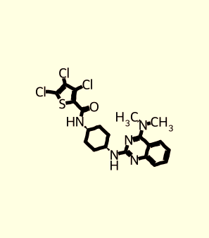 CN(C)c1nc(N[C@H]2CC[C@@H](NC(=O)c3sc(Cl)c(Cl)c3Cl)CC2)nc2ccccc12